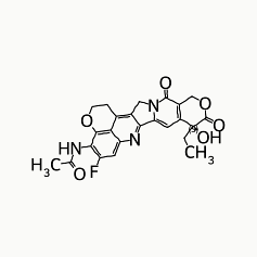 CC[C@@]1(O)C(=O)OCc2c1cc1n(c2=O)Cc2c-1nc1cc(F)c(NC(C)=O)c3c1c2CCO3